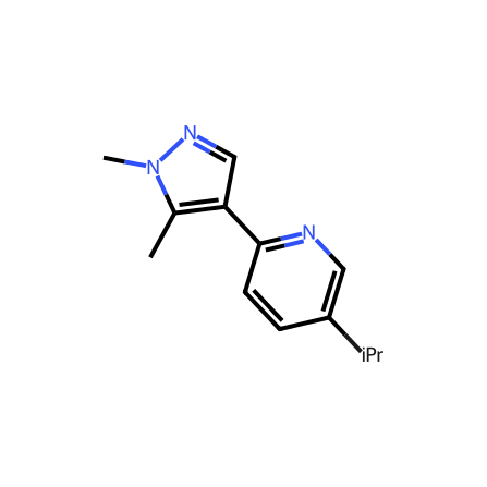 Cc1c(-c2ccc(C(C)C)cn2)cnn1C